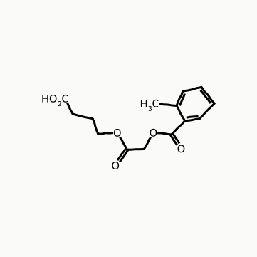 Cc1ccccc1C(=O)OCC(=O)OCCCC(=O)O